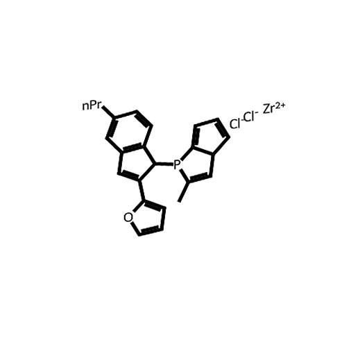 CCCc1ccc2c(c1)C=C(c1ccco1)C2P1C(C)=CC2C=CC=C21.[Cl-].[Cl-].[Zr+2]